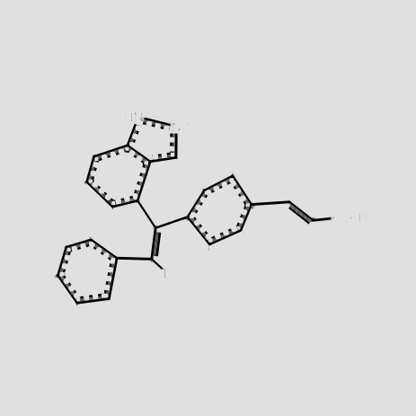 CCC(=C(c1ccc(C=CC(=O)O)cc1)c1cccc2[nH]ncc12)c1ccccc1